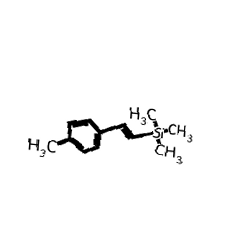 Cc1ccc(C=C[Si](C)(C)C)cc1